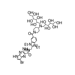 CCn1c(CNC(=O)c2nc3c(Br)c[nH]c3nc2N)[n+](CC)c2ccc(C(=O)N3CCC(N(CC(O)C(O)C(O)C(O)CO)CC(O)C(O)C(O)C(O)CO)CC3)cc21